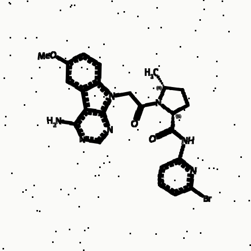 COc1ccc2c(c1)c1c(N)ncnc1n2CC(=O)N1[C@H](C)CC[C@H]1C(=O)Nc1cccc(Br)n1